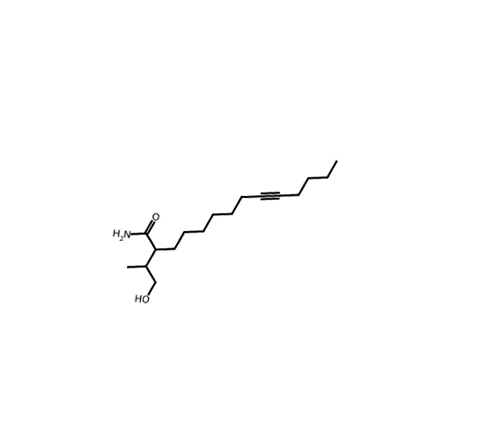 CCCCC#CCCCCCCC(C(N)=O)C(C)CO